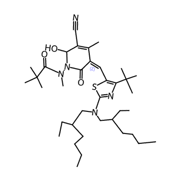 CCCCC(CC)CN(CC(CC)CCCC)c1nc(C(C)(C)C)c(/C=C2\C(=O)N(N(C)C(=O)C(C)(C)C)C(O)C(C#N)=C2C)s1